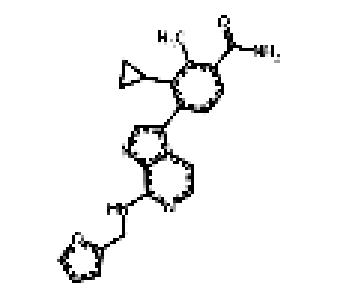 Cc1c(C(N)=O)ccc(-c2cnc3c(NCc4ccco4)nccn23)c1C1CC1